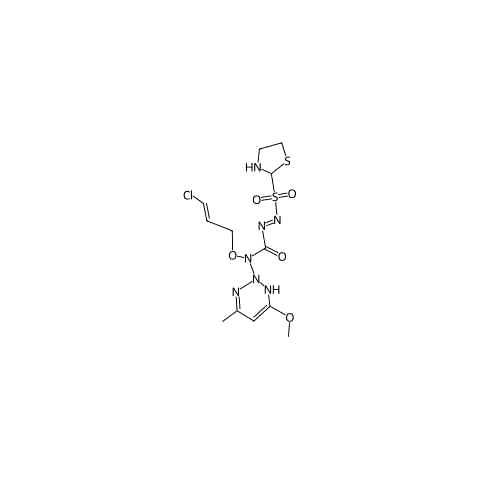 COC1=CC(C)=NN(N(OCC=CCl)C(=O)N=NS(=O)(=O)C2NCCS2)N1